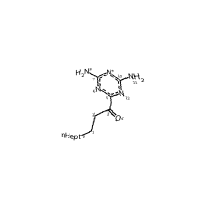 CCCCCCCCCC(=O)c1nc(N)nc(N)n1